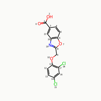 O=C(O)c1ccc2oc(COc3ccc(Cl)cc3Cl)nc2c1